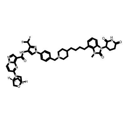 Cn1c(=O)n(C2CCC(=O)NC2=O)c2cccc(CCCCC3CCN(Cc4ccc(-n5cc(NC(=O)c6cnn7ccc(N8C[C@H]9C[C@@H]8CO9)nc67)c(C(F)F)n5)cc4)CC3)c21